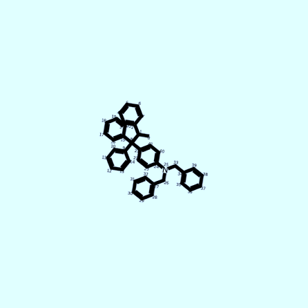 CC(c1ccccc1)C(c1ccccc1)(c1ccccc1)c1ccc(N(Cc2ccccc2)Cc2ccccc2)cc1